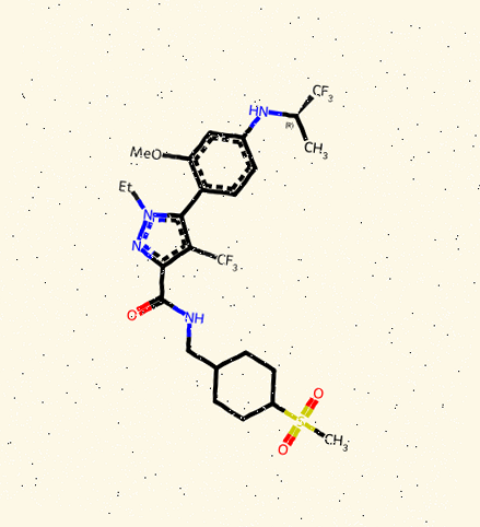 CCn1nc(C(=O)NCC2CCC(S(C)(=O)=O)CC2)c(C(F)(F)F)c1-c1ccc(N[C@H](C)C(F)(F)F)cc1OC